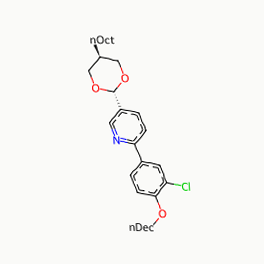 CCCCCCCCCCOc1ccc(-c2ccc([C@H]3OC[C@H](CCCCCCCC)CO3)cn2)cc1Cl